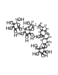 C[C@H](CC[C@@H](O[C@@H]1O[C@H](CO[C@@H]2OC(CO)[C@@H](O)[C@H](O)[C@H]2O)[C@@H](O)[C@H](O)[C@H]1O)C(C)(C)O)C1CC[C@@]2(C)C3CC=C4C(CC[C@H](O[C@@H]5O[C@H](CO)[C@@H](O)[C@H](O)[C@H]5O)C4(C)C)[C@]3(C)[C@H](O)C[C@]12C